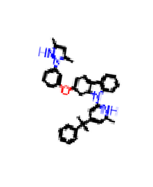 CC1C=C(C(C)(C)c2ccccc2)C=C(N2c3ccccc3C3=CC=C(OC4=CC(N5NC(C)CC5C)=CCC4)CC32)N1